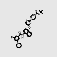 CC(C)(C)OC(=O)N1CCN(c2nccc(Oc3ccc(NC(=O)c4cc(F)cc(N5CCCCC5)c4)c4ccccc34)n2)CC1